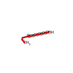 CCCCC/C=C\C/C=C\CCCCCCCC(=O)OCCOCCOCCOCCOCCOCCOCCOCCOCCOCCO